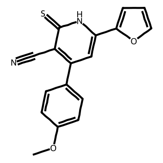 COc1ccc(-c2cc(-c3ccco3)[nH]c(=S)c2C#N)cc1